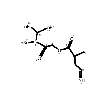 CCCCN(C(=O)COC(=O)C(C)CC=N)C(CCC)CCC